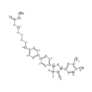 CC(C)(C)OC(=O)COCCCCOc1ccc(-c2ccc(N3CN(c4cnc(C#N)c(C(F)(F)F)c4)C(=O)C3(C)C)cc2)cc1